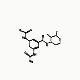 CC1CCCC(NC(=O)c2cc(NC(=O)C(C)(C)C)cc(NC(=O)C(C)(C)C)c2)C1C